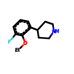 CCOc1c(F)cccc1C1CCNCC1